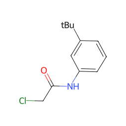 CC(C)(C)c1cccc(NC(=O)CCl)c1